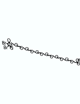 CC(C)(C)OC(=O)CCOCCOCCOCCOCCOCCOCCOCCOCCOCCOCCOCCOCCN1C(=O)C(Br)=C(Br)C1=O